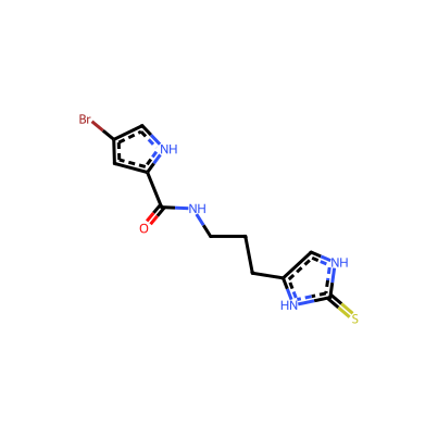 O=C(NCCCc1c[nH]c(=S)[nH]1)c1cc(Br)c[nH]1